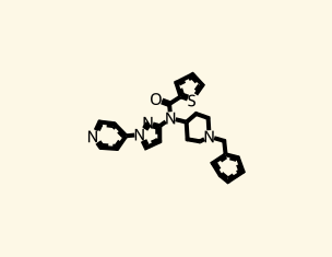 O=C(c1cccs1)N(c1ccn(-c2ccncc2)n1)C1CCN(Cc2ccccc2)CC1